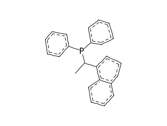 CC(c1cccc2ccccc12)P(c1ccccc1)c1ccccc1